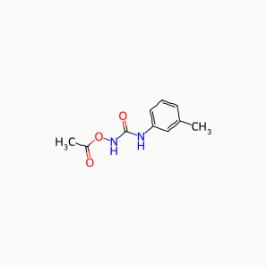 CC(=O)ONC(=O)Nc1cccc(C)c1